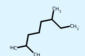 [CH]C(C)CCCC(C)C[CH2]